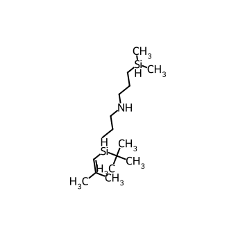 CC(C)=C[SiH](CCCNCCC[SiH](C)C)C(C)(C)C